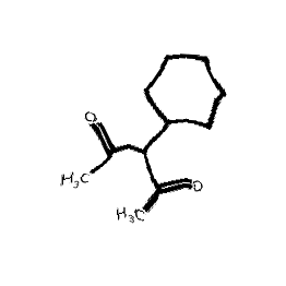 CC(=O)C(C(C)=O)C1CCCCC1